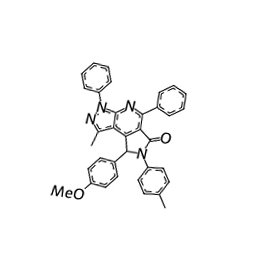 COc1ccc(C2c3c(c(-c4ccccc4)nc4c3c(C)nn4-c3ccccc3)C(=O)N2c2ccc(C)cc2)cc1